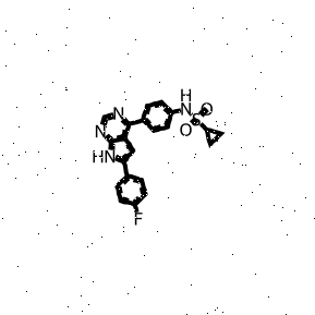 O=S(=O)(Nc1ccc(-c2ncnc3[nH]c(-c4ccc(F)cc4)cc23)cc1)C1CC1